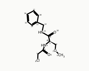 COC[C@@H](NC(=O)CCl)C(=O)NCc1ccccc1